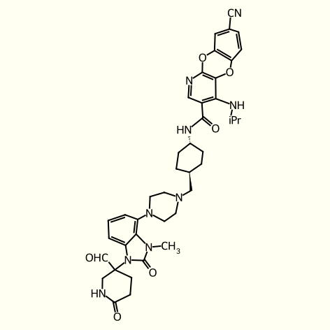 CC(C)Nc1c(C(=O)N[C@H]2CC[C@H](CN3CCN(c4cccc5c4n(C)c(=O)n5C4(C=O)CCC(=O)NC4)CC3)CC2)cnc2c1Oc1ccc(C#N)cc1O2